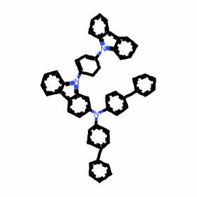 C1=C(n2c3ccccc3c3ccccc32)CCC(n2c3ccccc3c3ccc(N(c4ccc(-c5ccccc5)cc4)c4ccc(-c5ccccc5)cc4)cc32)=C1